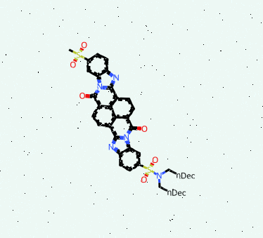 CCCCCCCCCCCN(CCCCCCCCCCC)S(=O)(=O)c1ccc2nc3c4ccc5c(=O)n6c7cc(S(C)(=O)=O)ccc7nc6c6ccc(c(=O)n3c2c1)c4c56